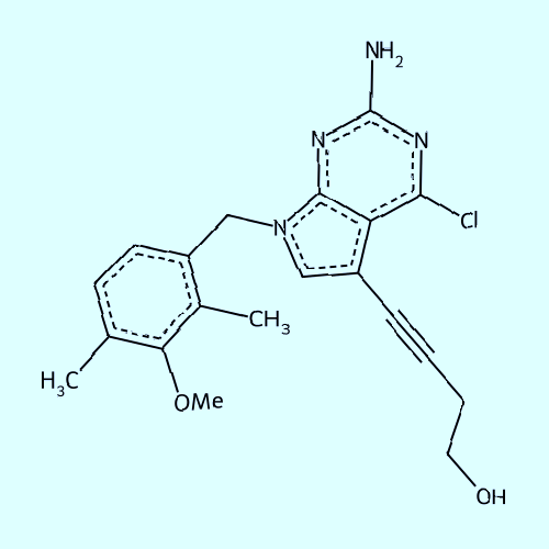 COc1c(C)ccc(Cn2cc(C#CCCO)c3c(Cl)nc(N)nc32)c1C